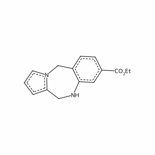 CCOC(=O)c1ccc2c(c1)NCc1cccn1C2